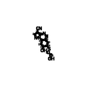 N#Cc1cnn2c1nnc1cc(SOOO)c(O)cc12